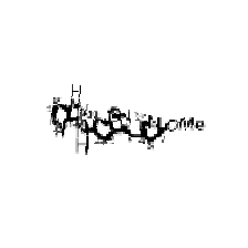 COc1ccc(Cc2noc3cc(Nc4n[nH]c5cccnc45)ccc23)cn1